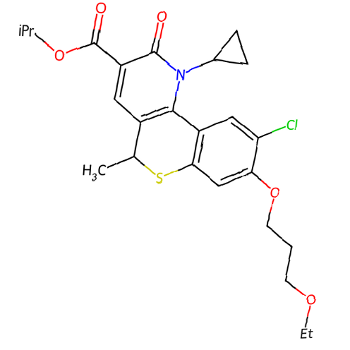 CCOCCCOc1cc2c(cc1Cl)-c1c(cc(C(=O)OC(C)C)c(=O)n1C1CC1)C(C)S2